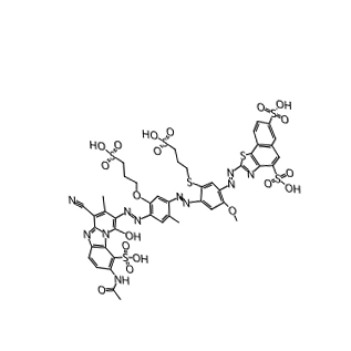 COc1cc(N=Nc2cc(OCCCS(=O)(=O)O)c(N=Nc3c(C)c(C#N)c4nc5ccc(NC(C)=O)c(S(=O)(=O)O)c5n4c3O)cc2C)c(SCCCS(=O)(=O)O)cc1N=Nc1nc2c(S(=O)(=O)O)cc3cc(S(=O)(=O)O)ccc3c2s1